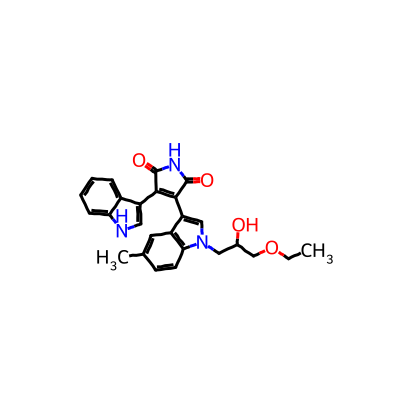 CCOCC(O)Cn1cc(C2=C(c3c[nH]c4ccccc34)C(=O)NC2=O)c2cc(C)ccc21